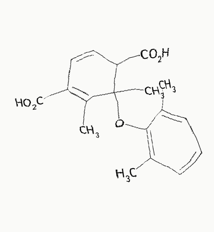 CC1=C(C(=O)O)C=CC(C(=O)O)C1(C)Oc1c(C)cccc1C